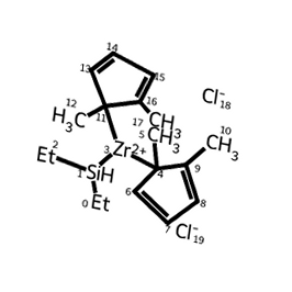 CC[SiH](CC)[Zr+2]([C]1(C)C=CC=C1C)[C]1(C)C=CC=C1C.[Cl-].[Cl-]